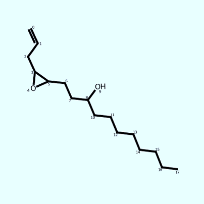 C=CCC1OC1CCC(O)CCCCCCCC